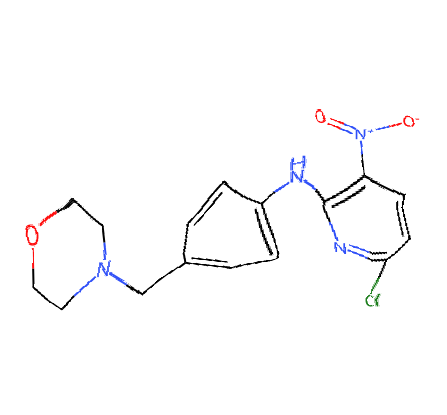 O=[N+]([O-])c1ccc(Cl)nc1Nc1ccc(CN2CCOCC2)cc1